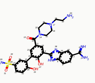 N=C(N)c1ccc2[nH]c(-c3cc(C(=O)N4CCN(CCN)CC4)cc(-c4cc(S(N)(=O)=O)ccc4O)c3O)nc2c1